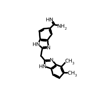 Cc1ccc2[nH]c(Cc3nc4cc(C(=N)N)ccc4[nH]3)nc2c1C